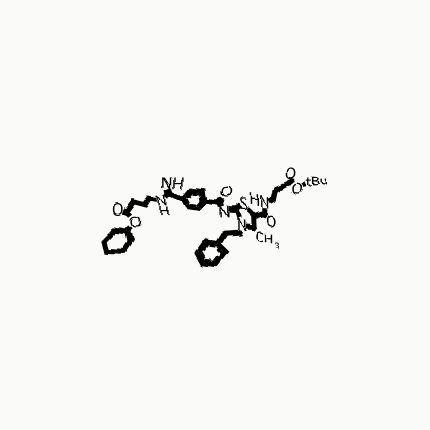 CC1C(C(=O)NCCC(=O)OC(C)(C)C)SC(=NC(=O)c2ccc(C(=N)NCCCC(=O)OC3CCCCC3)cc2)N1CCc1ccccc1